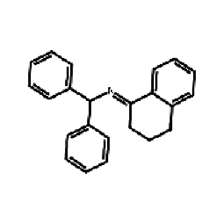 c1ccc(C(N=C2CCCc3ccccc32)c2ccccc2)cc1